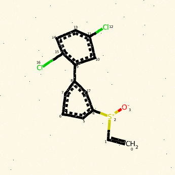 C=C[S+]([O-])c1cccc(-c2cc(Cl)ccc2Cl)c1